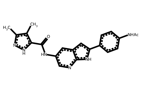 CC(=O)Nc1ccc(-c2cc3cc(NC(=O)c4[nH]nc(C)c4C)cnc3[nH]2)cc1